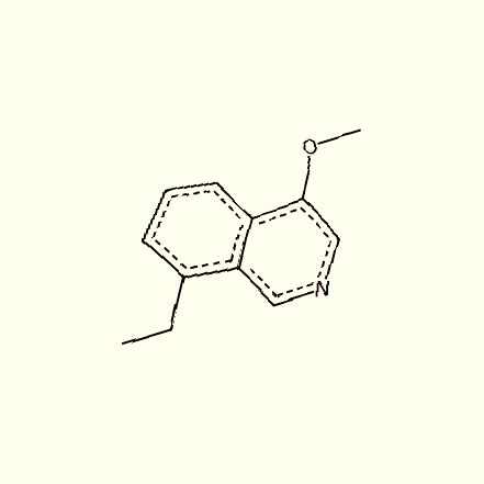 CCc1cccc2c(OC)cncc12